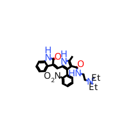 CCN(CC)CCNC(=O)c1c(C)[nH]c(C=C2C(=O)Nc3ccccc32)c1-c1ccccc1[N+](=O)[O-]